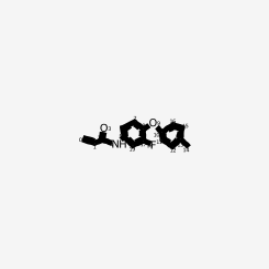 C=CC(=O)Nc1ccc(Oc2ccc(C)cc2)c(F)c1